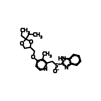 CCC1(CC)OCC(COc2ccnc(C[S+]([O-])c3nc4ccccc4[nH]3)c2C)O1